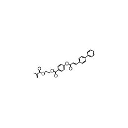 C=C(C)C(=O)OCCOC(=O)c1ccc(OC(=O)/C=C/c2ccc(-c3ccccc3)cc2)cc1